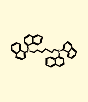 c1ccc2c(P(CCCCCCP(c3cccc4ccccc34)c3cccc4ccccc34)c3cccc4ccccc34)cccc2c1